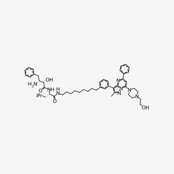 Cc1nn2c(N3CCN(CCO)CC3)cc(-c3ccccc3)nc2c1-c1cccc(CCCCCCCCCNC(=O)[C@H](CC(C)C)NC(=O)[C@@H](O)[C@H](N)Cc2ccccc2)c1